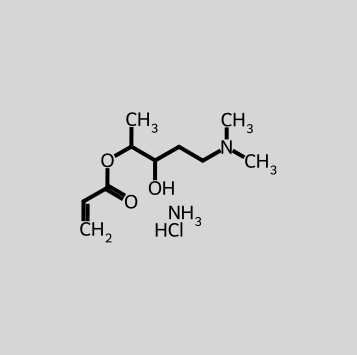 C=CC(=O)OC(C)C(O)CCN(C)C.Cl.N